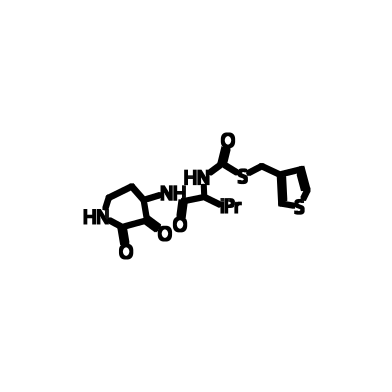 CC(C)C(NC(=O)SCc1ccsc1)C(=O)NC1CCNC(=O)C1=O